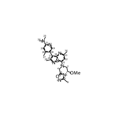 COCCN(Cc1nc(C)no1)c1cc(C)nc2c(-c3cnc(N(C)C)cc3C)c(C)nn12